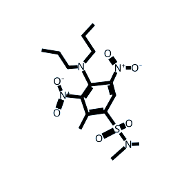 CCCN(CCC)c1c([N+](=O)[O-])cc(S(=O)(=O)N(C)C)c(C)c1[N+](=O)[O-]